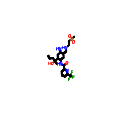 C=CCC(C)(O)C1=CC(=N)/C(=C\NCCS(C)(=O)=O)C=C1NC(=O)c1cccc(C(F)(F)F)n1